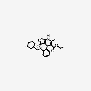 CCOC(=O)C1=C(C)NC2=C(C(=O)OC2)C1c1ccccc1SCC1CCCCC1